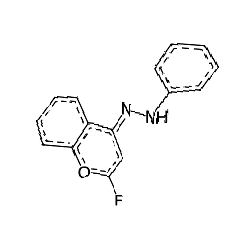 Fc1cc(=NNc2ccccc2)c2ccccc2o1